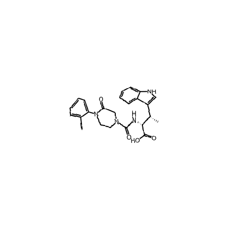 Cc1ccccc1N1CCN(C(=O)N[C@@H](C(=O)O)[C@@H](C)c2c[nH]c3ccccc23)CC1=O